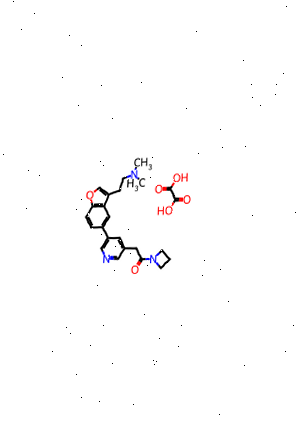 CN(C)CCc1coc2ccc(-c3cncc(CC(=O)N4CCC4)c3)cc12.O=C(O)C(=O)O